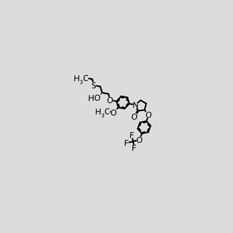 CCSC[C@@H](O)COc1ccc(N2CCC(Oc3ccc(OC(F)(F)F)cc3)C2=O)cc1OC